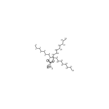 CCCCCCCCC(CCCCCCCC)(CCCCCCCC)OC(C)=O.P